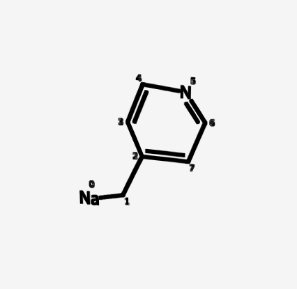 [Na][CH2]c1ccncc1